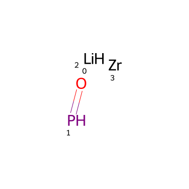 O=P.[LiH].[Zr]